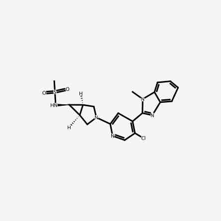 Cn1c(-c2cc(N3C[C@@H]4[C@H](C3)[C@@H]4NS(C)(=O)=O)ncc2Cl)nc2ccccc21